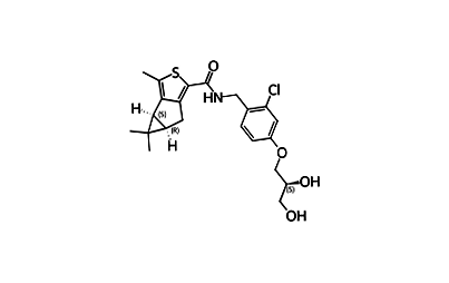 Cc1sc(C(=O)NCc2ccc(OC[C@@H](O)CO)cc2Cl)c2c1[C@H]1[C@@H](C2)C1(C)C